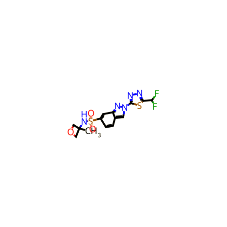 CC1(NS(=O)(=O)c2ccc3cn(-c4nnc(C(F)F)s4)nc3c2)COC1